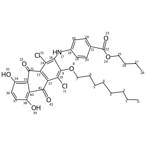 CCCCCCCCOc1c(Cl)c2c(c(Cl)c1Nc1ccc(C(=O)OCCCC)cc1)C(=O)c1c(O)ccc(O)c1C2=O